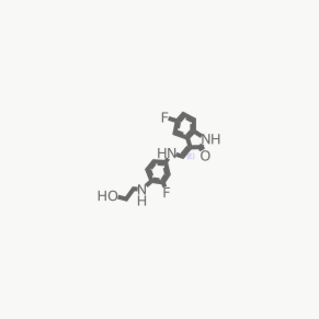 O=C1Nc2ccc(F)cc2/C1=C\Nc1ccc(NCCO)c(F)c1